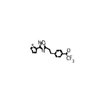 O=C(c1ccc(/C=C/c2nc(-c3cccs3)no2)cc1)C(F)(F)F